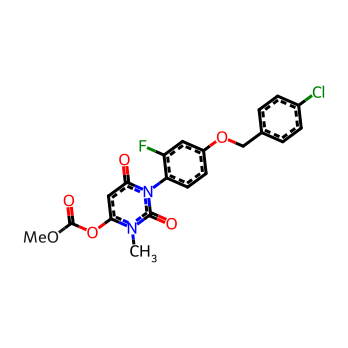 COC(=O)Oc1cc(=O)n(-c2ccc(OCc3ccc(Cl)cc3)cc2F)c(=O)n1C